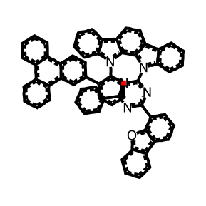 c1ccc(-c2nc(-c3cccc4c3oc3ccccc34)nc(-n3c4ccccc4c4ccc5c6ccccc6n(-c6ccccc6-c6ccc7c8ccccc8c8ccccc8c7c6)c5c43)n2)cc1